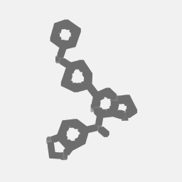 CN(c1ccc2c(c1)OCO2)c1nc(-c2ccc(Oc3ccccc3)cc2)cn2ccnc12